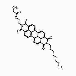 CCCCCCCCN1C(=O)C2=CC=C3c4ncc5c6c(ccc(c46)C4=NC=C(C1=O)C2C34)C(=O)N(CCOC(=O)CC)C5=O